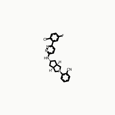 N#Cc1ccccc1N1C[C@H]2C[C@H](Nc3ccc(-c4cc(F)ccc4Cl)nn3)C[C@H]2C1